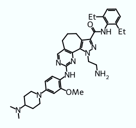 CCc1cccc(CC)c1NC(=O)c1nn(CCN)c2c1CCCc1cnc(Nc3ccc(N4CCC(N(C)C)CC4)cc3OC)nc1-2